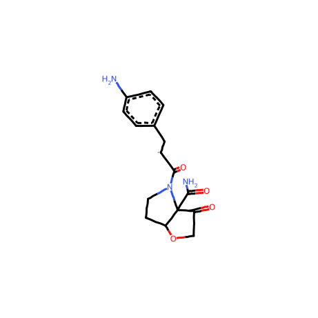 NC(=O)C12C(=O)COC1CCN2C(=O)[CH]Cc1ccc(N)cc1